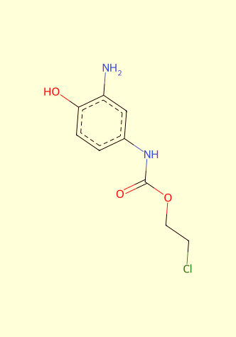 Nc1cc(NC(=O)OCCCl)ccc1O